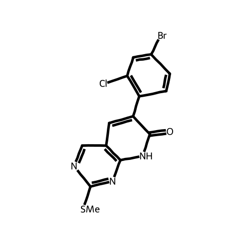 CSc1ncc2cc(-c3ccc(Br)cc3Cl)c(=O)[nH]c2n1